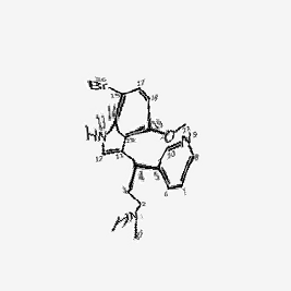 CNCCC(c1cccnc1)c1c[nH]c2c(Br)ccc(OC)c12